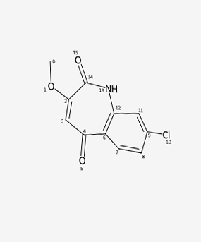 COc1cc(=O)c2ccc(Cl)cc2[nH]c1=O